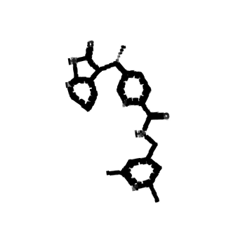 Cc1cc(CNC(=O)c2ccc([C@@H](C)C3C(=O)Nc4ncccc43)cn2)cc(C)n1